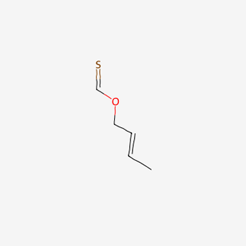 CC=CCOC=S